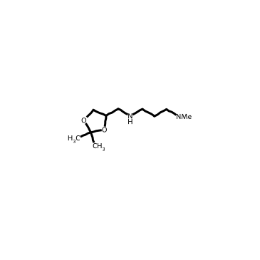 CNCCCNCC1COC(C)(C)O1